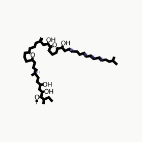 C=C(CCCC1CCCC(CC/C=C(\C)CCC(O)CC(O)C(OI)C(C)CC)O1)CC(O)C1CCCC(C(O)C/C=C/CC/C=C/C=C/C=C/CCC(C)C)O1